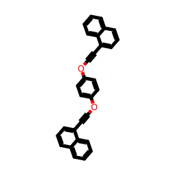 C(#Cc1cccc2ccccc12)Oc1ccc(OC#Cc2cccc3ccccc23)cc1